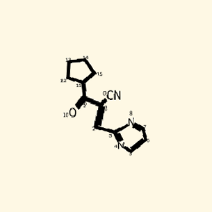 N#C/C(=C\c1ncccn1)C(=O)C1CCCC1